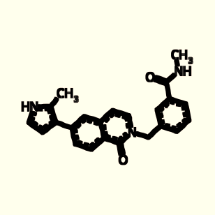 CNC(=O)c1cccc(Cn2ccc3cc(-c4cc[nH]c4C)ccc3c2=O)c1